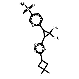 CC1(C)C(c2ccc(S(N)(=O)=O)cn2)C1c1nc(C2CC(F)(F)C2)no1